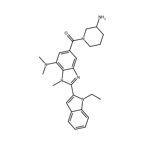 CCn1c(-c2nc3cc(C(=O)N4CCCC(N)C4)cc(N(C)C)c3n2C)cc2ccccc21